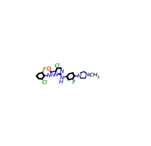 CN1CCN(c2ccc(Nc3ncc(Cl)c(C(=O)Nc4c(F)cccc4Cl)n3)cc2F)CC1